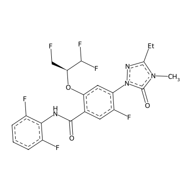 CCc1nn(-c2cc(O[C@@H](CF)C(F)F)c(C(=O)Nc3c(F)cccc3F)cc2F)c(=O)n1C